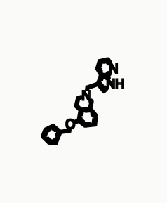 c1ccc(COc2cccc3c2CCN(Cc2c[nH]c4ncccc24)C3)cc1